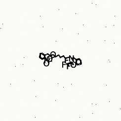 O=C(N(CCCCCCOCCc1ccccc1[N+](=O)[O-])Cc1ccccc1)C(F)(F)F